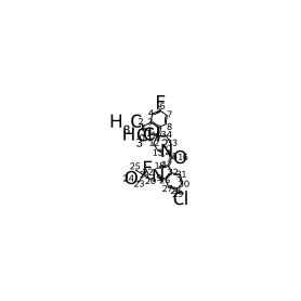 C=C(C)c1cc(F)ccc1C1(C)CCN(C(=O)c2cn(CC3(F)COC3)c3cc(Cl)ccc23)CC1